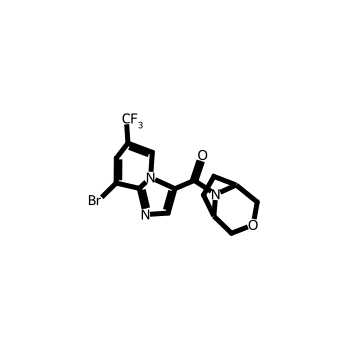 O=C(c1cnc2c(Br)cc(C(F)(F)F)cn12)N1C2CCC1COC2